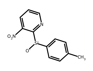 Cc1ccc([S+]([O-])c2ncccc2[N+](=O)[O-])cc1